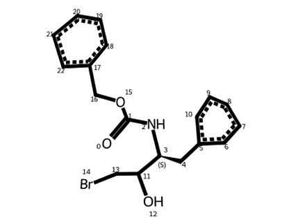 O=C(N[C@@H](Cc1ccccc1)C(O)CBr)OCc1ccccc1